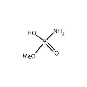 COP(N)(=O)O